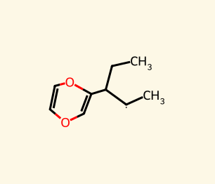 C[CH]C(CC)C1=COC=CO1